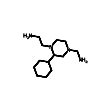 NCCN1CCN(CN)CC1C1CCCCC1